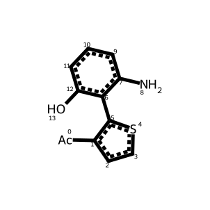 CC(=O)c1ccsc1-c1c(N)cccc1O